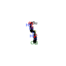 CC(C)(C)OC(=O)NCCc1nc(-c2cccc(-c3csc(SCC(=O)NC4CCN(Cc5ccc(Cl)c(Cl)c5)CC4)n3)c2)no1